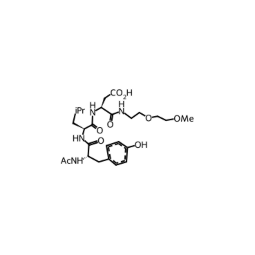 COCCOCCNC(=O)[C@H](CC(=O)O)NC(=O)[C@H](CC(C)C)NC(=O)[C@H](Cc1ccc(O)cc1)NC(C)=O